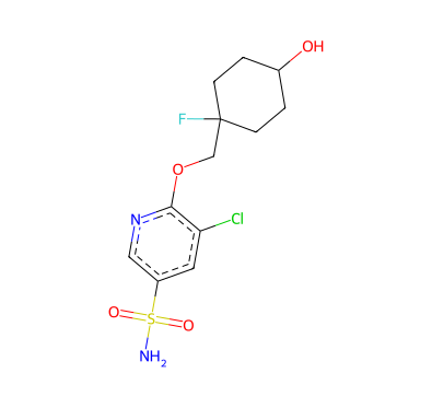 NS(=O)(=O)c1cnc(OCC2(F)CCC(O)CC2)c(Cl)c1